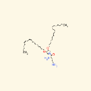 CCCCC/C=C\C/C=C\CCCCCCCCOC1CN(C(=O)[C@@H](N)CCCN)C[C@H]1OCCCCCCCC/C=C\C/C=C\CCCCC